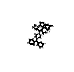 Cc1ccc2cc(C(c3nnnn3C3CCCC3)N3CCN(C(c4ccccc4)c4ccccc4)CC3)c(=O)[nH]c2c1